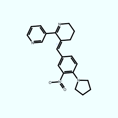 O=[N+]([O-])c1cc(/C=C2\CCCN=C2c2cccnc2)ccc1N1CCCC1